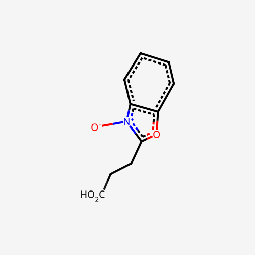 O=C(O)CCc1oc2ccccc2[n+]1[O-]